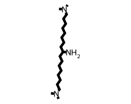 CN(C)CCCCCCCCC(N)CCCCCCCCN(C)C